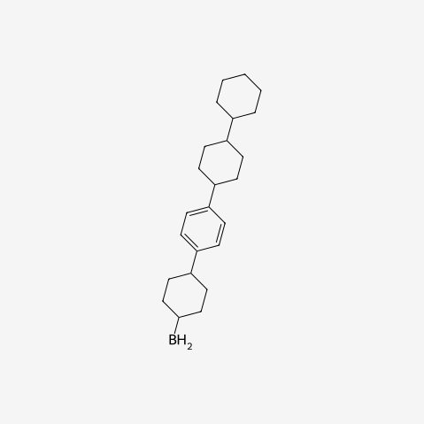 BC1CCC(c2ccc(C3CCC(C4CCCCC4)CC3)cc2)CC1